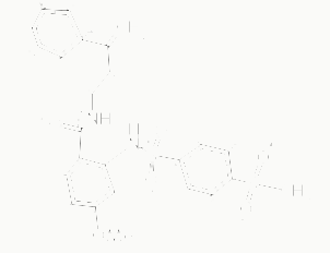 C=C(CCNC(=O)c1ccc(OC)cc1NS(=O)(=O)c1ccc(S(C)(=O)=O)cc1)c1ccccc1